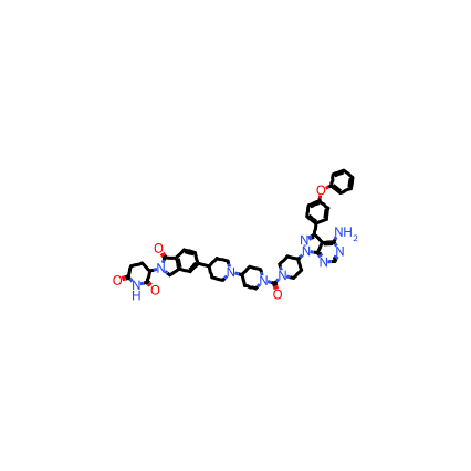 Nc1ncnc2c1c(-c1ccc(Oc3ccccc3)cc1)nn2C1CCN(C(=O)N2CCC(N3CCC(c4ccc5c(c4)CN(C4CCC(=O)NC4=O)C5=O)CC3)CC2)CC1